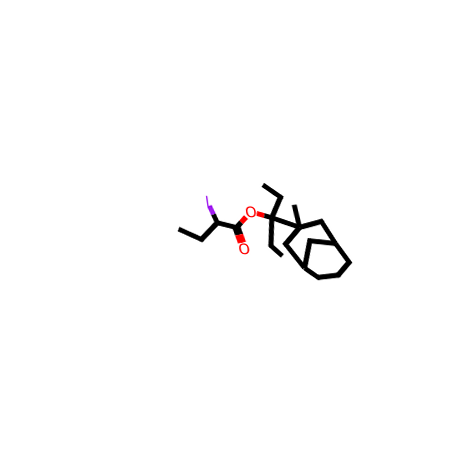 CCC(I)C(=O)OC(CC)(CC)C1(C)CC2CCCC(C2)C1